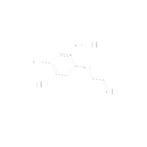 C=CCOc1cc(C)c(Cl)cc1C(=O)O